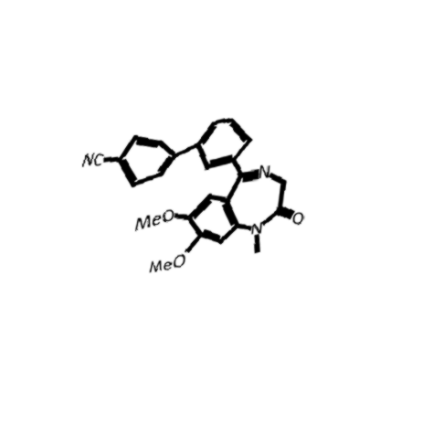 COc1cc2c(cc1OC)N(C)C(=O)CN=C2c1cccc(-c2ccc(C#N)cc2)c1